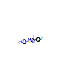 CC(C)N1CCN(c2nn3c(I)c(-c4ccc(F)cc4)nc3s2)CC1